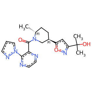 C[C@@H]1CC[C@@H](c2cc(C(C)(C)O)no2)CN1C(=O)c1nccnc1-n1cccn1